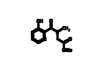 COC(=O)CN(C)C(=O)c1ncccc1O